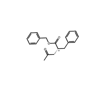 CC(=O)C[C@@H](Cc1ccccc1)C(=O)OCc1ccccc1